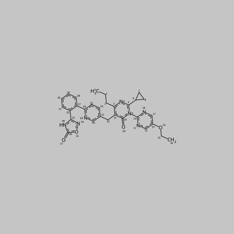 CCCc1nc(C2CC2)n(-c2ncc(OCC)cn2)c(=O)c1Cc1ccc(-c2ccccc2-c2noc(=O)[nH]2)nc1